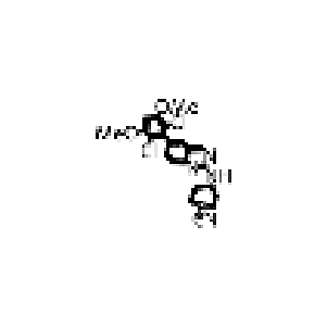 COc1cc(OC)c(Cl)c(-c2ccc3nc(NC4CCB(C#N)CC4)ncc3c2)c1Cl